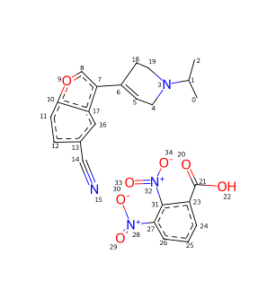 CC(C)N1CC=C(c2coc3ccc(C#N)cc23)CC1.O=C(O)c1cccc([N+](=O)[O-])c1[N+](=O)[O-]